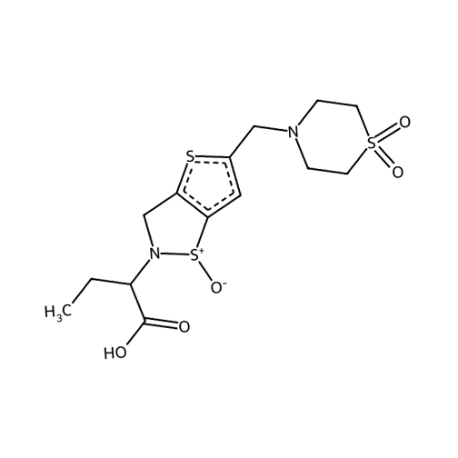 CCC(C(=O)O)N1Cc2sc(CN3CCS(=O)(=O)CC3)cc2[S+]1[O-]